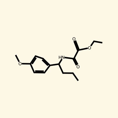 CCCC(NC(=O)C(=O)OCC)c1ccc(OC)cc1